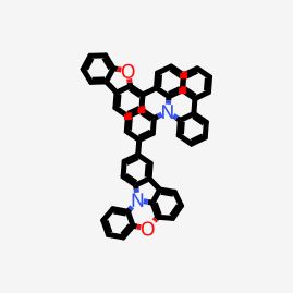 c1ccc(-c2ccccc2N(c2cccc(-c3ccc4c(c3)c3cccc5c3n4-c3ccccc3O5)c2)c2ccccc2-c2cccc3c2oc2ccccc23)cc1